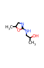 CC(O)CNC1=NCC(C)O1